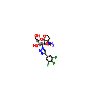 N[C@@H]1CCO[C@]12O[C@H](CO)[C@H](O)[C@H](n1cc(-c3cc(F)c(F)c(F)c3)nn1)[C@H]2O